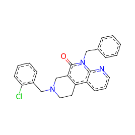 O=c1c2c(c3cccnc3n1Cc1ccccc1)CCN(Cc1ccccc1Cl)C2